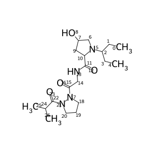 CCC(CC)N1CC(O)CC1C(=O)NCC(=O)N1CCCN1C(=O)C(C)C